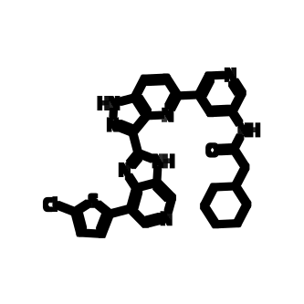 O=C(CC1CCCCC1)Nc1cncc(-c2ccc3[nH]nc(-c4nc5c(-c6ccc(Cl)s6)cncc5[nH]4)c3n2)c1